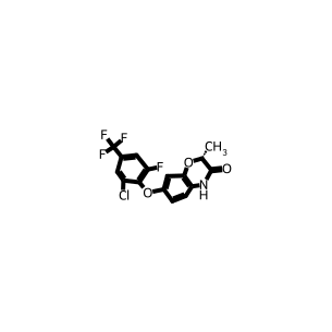 C[C@H]1Oc2cc(Oc3c(F)cc(C(F)(F)F)cc3Cl)ccc2NC1=O